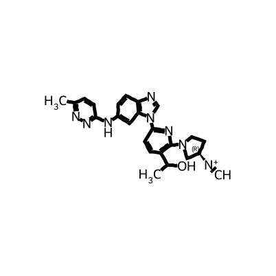 C#[N+][C@@H]1CCN(c2nc(-n3cnc4ccc(Nc5ccc(C)nn5)cc43)ccc2C(C)O)C1